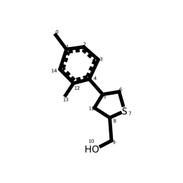 Cc1ccc(C2CSC(CO)C2)c(C)c1